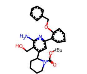 CC(C)(C)OC(=O)N1CCCCC1c1cc(-c2ccccc2OCc2ccccc2)nc(N)c1CO